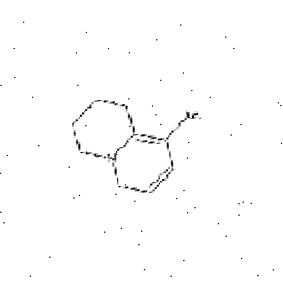 CC(=O)C1=C2CCCCN2CC=C1